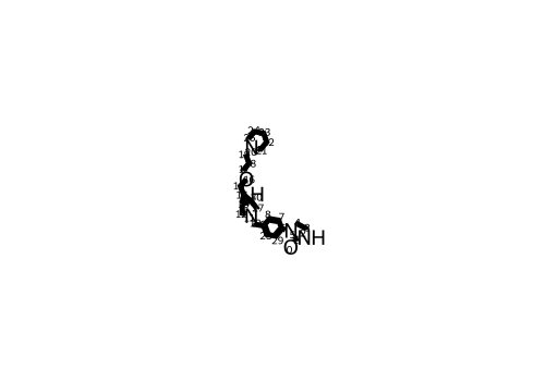 O=C1NCCN1c1ccc(CN2CC3C(COCCCN4CCCCC4)[C@H]3C2)cc1